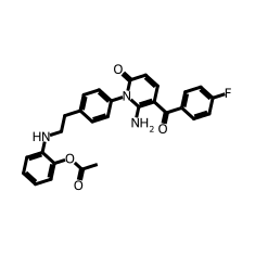 CC(=O)Oc1ccccc1NCCc1ccc(-n2c(N)c(C(=O)c3ccc(F)cc3)ccc2=O)cc1